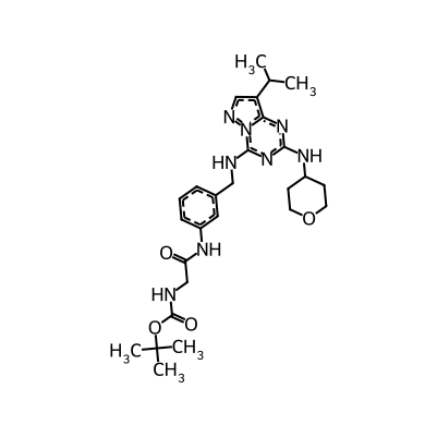 CC(C)c1cnn2c(NCc3cccc(NC(=O)CNC(=O)OC(C)(C)C)c3)nc(NC3CCOCC3)nc12